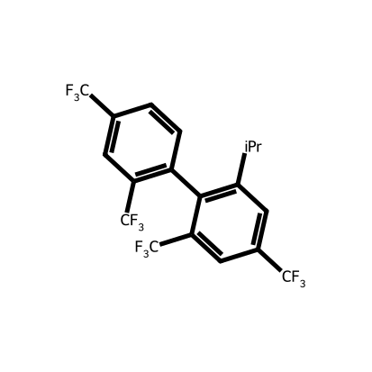 CC(C)c1cc(C(F)(F)F)cc(C(F)(F)F)c1-c1ccc(C(F)(F)F)cc1C(F)(F)F